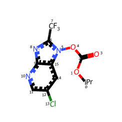 CC(C)OC(=O)On1c(C(F)(F)F)nc2ncc(Cl)cc21